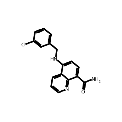 NC(=O)c1ccc(NCc2cccc(Cl)c2)c2cccnc12